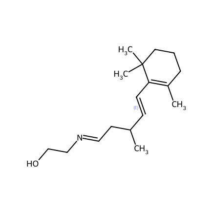 CC1=C(/C=C/C(C)CC=NCCO)C(C)(C)CCC1